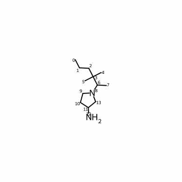 CCCC(C)(C)C(C)N1CCC(N)C1